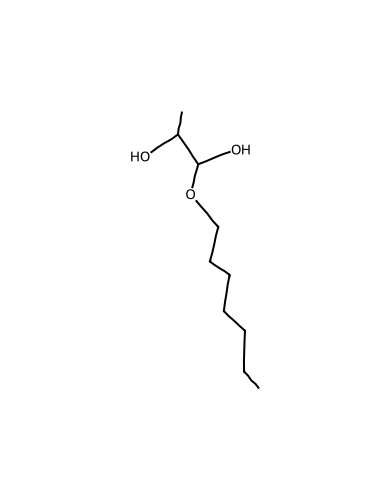 CCCCCCCOC(O)C(C)O